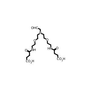 O=CCN(CCOCCNC(=O)CCC(=O)O)CCOCCNC(=O)CCC(=O)O